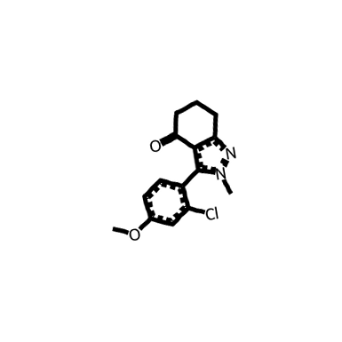 COc1ccc(-c2c3c(nn2C)CCCC3=O)c(Cl)c1